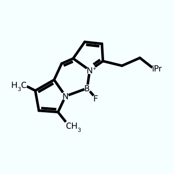 Cc1cc(C)n2c1C=C1C=CC(CCC(C)C)=[N+]1B2F